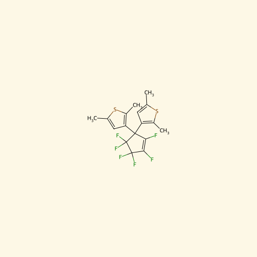 Cc1cc(C2(c3cc(C)sc3C)C(F)=C(F)C(F)(F)C2(F)F)c(C)s1